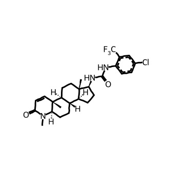 CN1C(=O)C=C[C@]2(C)[C@H]3CC[C@]4(C)[C@@H](NC(=O)Nc5ccc(Cl)cc5C(F)(F)F)CC[C@H]4[C@@H]3CC[C@@H]12